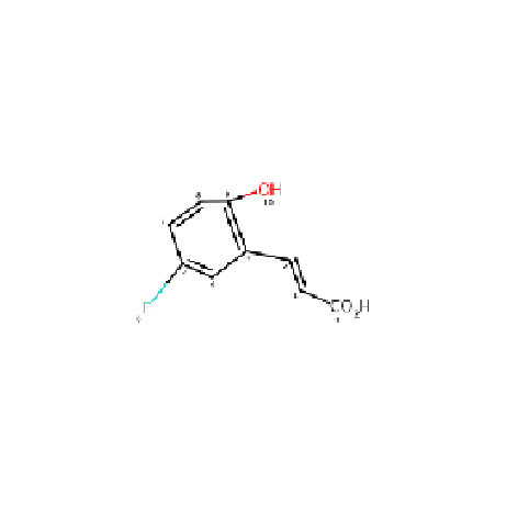 O=C(O)C=Cc1cc(F)ccc1O